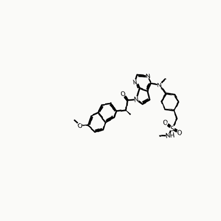 CNS(=O)(=O)CC1CCC(N(C)c2ncnc3c2ccn3C(=O)[C@@H](C)c2ccc3cc(OC)ccc3c2)CC1